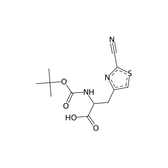 CC(C)(C)OC(=O)NC(Cc1csc(C#N)n1)C(=O)O